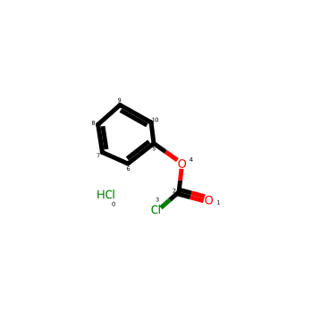 Cl.O=C(Cl)Oc1ccccc1